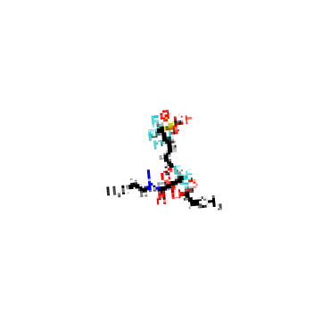 C=CC(=O)OC(OCCCC(F)(F)C(F)(F)S(=O)(=O)O)(C(=O)NCCC)C(F)(F)F